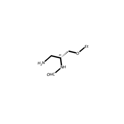 CCOC[C@@H](CN)NC=O